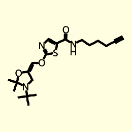 C#CCCCCNC(=O)c1cnc(OC=C2CN(C(C)(C)C)C(C)(C)O2)s1